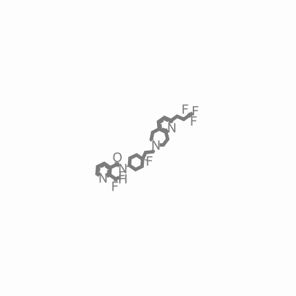 O=C(N[C@H]1CC[C@](F)(CCN2CCc3ccc(CCC(F)(F)F)nc3CC2)CC1)c1cccnc1C(F)F